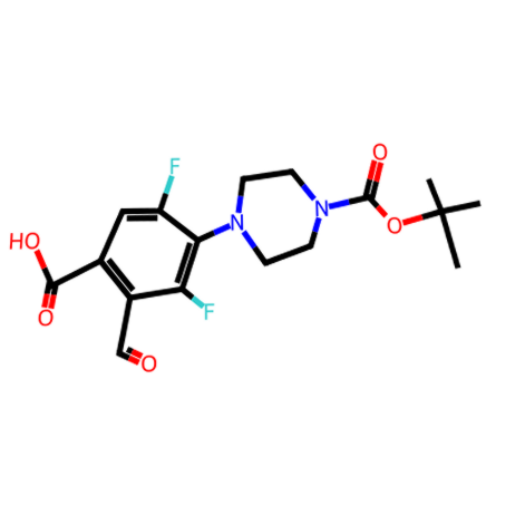 CC(C)(C)OC(=O)N1CCN(c2c(F)cc(C(=O)O)c(C=O)c2F)CC1